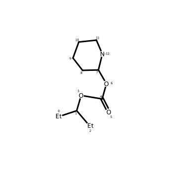 CCC(CC)OC(=O)OC1CCCC[N]1